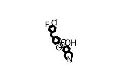 CN1CCc2cc(O)c(S(=O)(=O)c3ccc(Cc4ccc(Cl)c(F)c4)cc3)cc2CC1